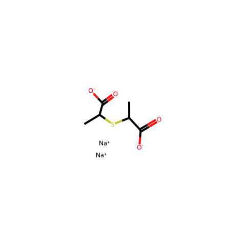 CC(SC(C)C(=O)[O-])C(=O)[O-].[Na+].[Na+]